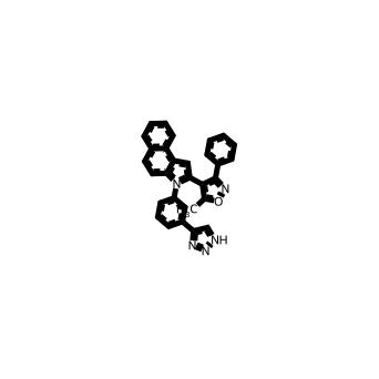 Cc1onc(-c2ccccc2)c1-c1cc2c3ccccc3ccc2n1-c1cccc(-c2c[nH]nn2)c1